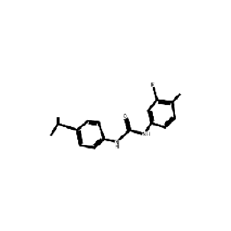 Cc1ccc(NC(=O)Nc2ccc(C(C)C)cc2)cc1F